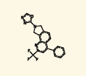 FC(F)(F)c1cc(-c2ccccc2)c2ccc3c(c2n1)CN(c1nnco1)C3